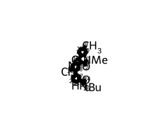 CNC(=O)c1c(-c2ccc(C)cc2)oc2nc(Cl)c(-c3cccc(C(=O)NC(C)(C)C)c3)cc12